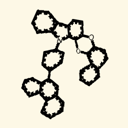 c1ccc2c3c(ccc2c1)Oc1ccc2c4ccccc4n(-c4ccc(-c5cc6ccccc6c6ccccc56)cc4)c2c1O3